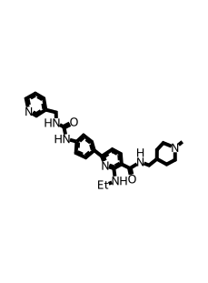 CCNc1nc(-c2ccc(NC(=O)NCc3cccnc3)cc2)ccc1C(=O)NCC1CCN(C)CC1